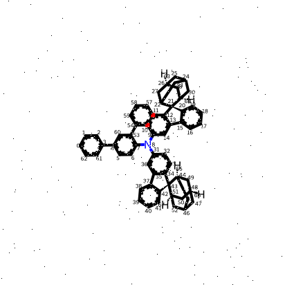 c1ccc(-c2ccc(N(c3ccc4c(c3)-c3ccccc3[C@]43C4CC5C[C@H](C4)C[C@H]3C5)c3ccc4c(c3)-c3ccccc3[C@]43[C@@H]4CC5C[C@@H](C4)C[C@H]3C5)c(-c3ccccc3)c2)cc1